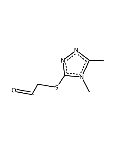 Cc1nnc(SC[C]=O)n1C